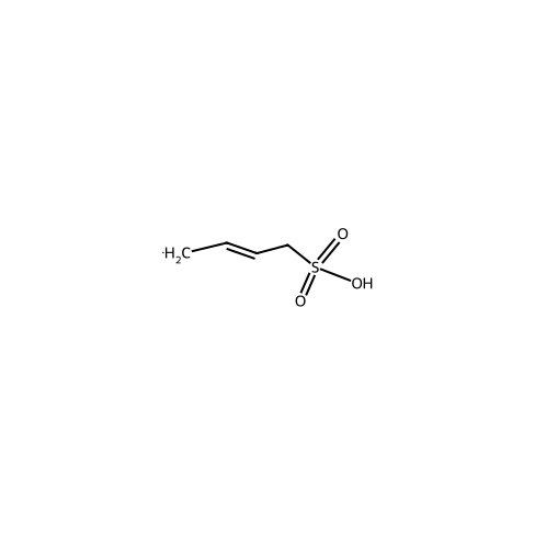 [CH2]/C=C/CS(=O)(=O)O